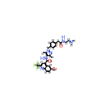 Cc1nn(Cc2ccc(CC(=O)NCCN(C)C)cc2)c(C)c1NC(=O)c1cc(C(F)(F)F)nc2ccc(Br)cc12